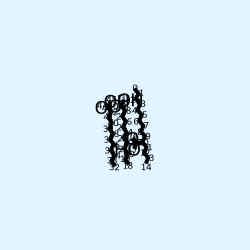 CCCCCCCCCCC(CCCC)C(=O)O.CCCCCCCCCCCC(=O)O.CCCCCCCCCCCC(=O)O